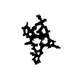 Cc1nc(C(=O)N2CC3CCC[C@@H]3C2CNC(=O)c2c(C)nc3sccn23)c(-c2ccc(C(F)(F)F)cc2)s1